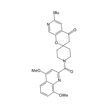 COc1cc(C(=O)N2CCC3(CC2)CC(=O)c2cc(C(C)(C)C)ncc2O3)nc2c(OC)cccc12